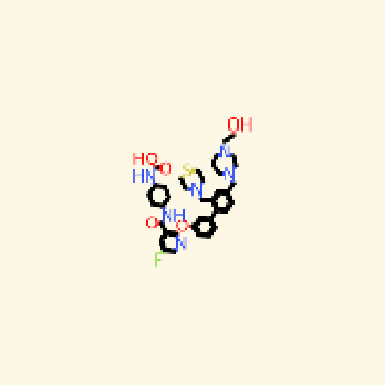 O=C(O)NC1CCC(NC(=O)c2cc(F)cnc2Oc2cccc(-c3ccc(CN4CCCN(CCO)CC4)cc3CN3CCSCC3)c2)CC1